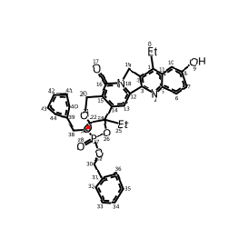 CCc1c2c(nc3ccc(O)cc13)-c1cc3c(c(=O)n1C2)COC(=O)C3(CC)OP(=O)(OCc1ccccc1)OCc1ccccc1